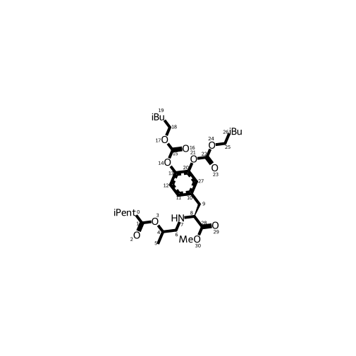 CCCC(C)C(=O)OC(C)CN[C@@H](Cc1ccc(OC(=O)OCC(C)CC)c(OC(=O)OCC(C)CC)c1)C(=O)OC